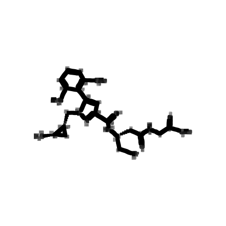 COC(=O)CNC(=O)C[C@H](CC(C)C)NC(=O)c1cc(-c2c(OC)cccc2OC)n(C[C@@H]2C[C@@H]2C)n1